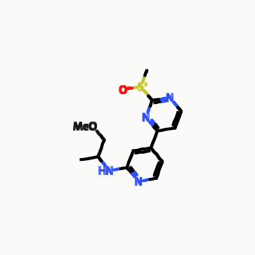 COCC(C)Nc1cc(-c2ccnc([S+](C)[O-])n2)ccn1